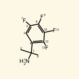 CC(C)(N)c1cc(F)c(F)c(F)c1F